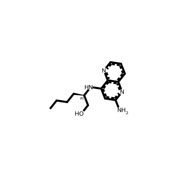 CCCC[C@H](CO)Nc1cc(N)nc2cccnc12